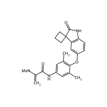 C=C(NC)C(=O)Nc1cc(C)c(Oc2ccc3c(c2)C2(CCC2)C(=O)N3)c(C)c1